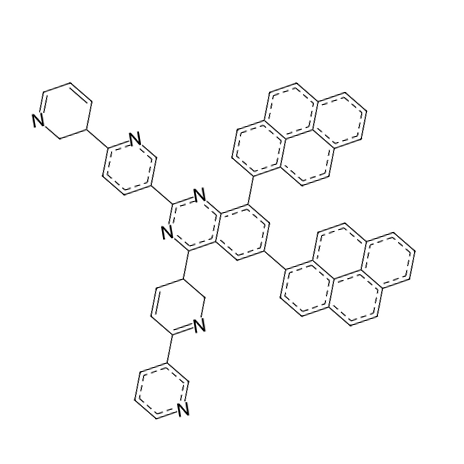 C1=CC(c2ccc(-c3nc(C4C=CC(c5cccnc5)=NC4)c4cc(-c5ccc6ccc7cccc8ccc5c6c78)cc(-c5ccc6ccc7cccc8ccc5c6c78)c4n3)cn2)CN=C1